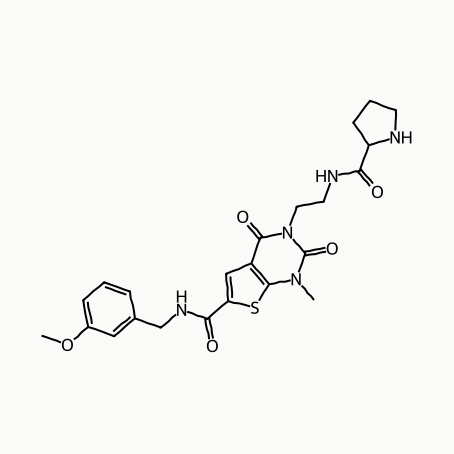 COc1cccc(CNC(=O)c2cc3c(=O)n(CCNC(=O)C4CCCN4)c(=O)n(C)c3s2)c1